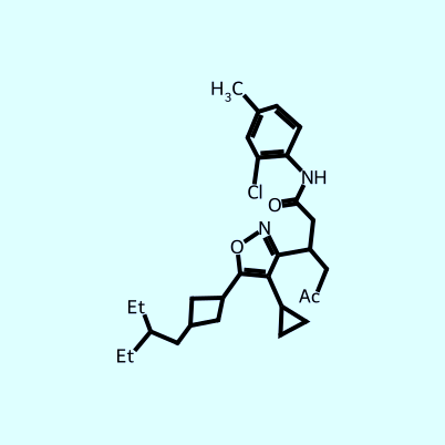 CCC(CC)CC1CC(c2onc(C(CC(C)=O)CC(=O)Nc3ccc(C)cc3Cl)c2C2CC2)C1